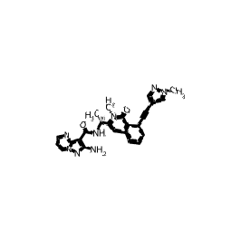 C[C@@H](NC(=O)c1c(N)nn2cccnc12)c1cc2cccc(C#Cc3cnn(C)c3)c2c(=O)n1C